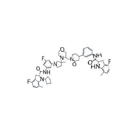 Cc1ccc(F)c2c1NC(C(=O)Nc1cccc(C3CCN(CC4COCCN4C4(C)CCN(c5cc(F)cc(NC(=O)C6Cc7c(F)ccc(C)c7N6C6CCCC6)c5)C4)C(=O)C3)c1)C2